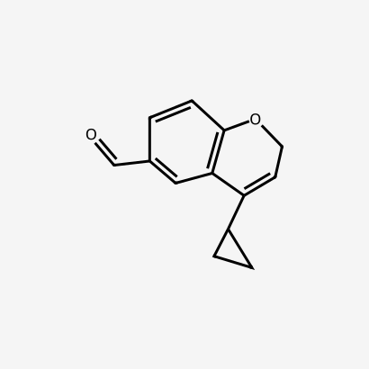 O=Cc1ccc2c(c1)C(C1CC1)=CCO2